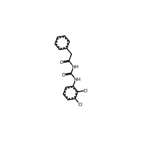 O=C(Cc1ccccc1)NC(=O)Nc1cccc(Cl)c1Cl